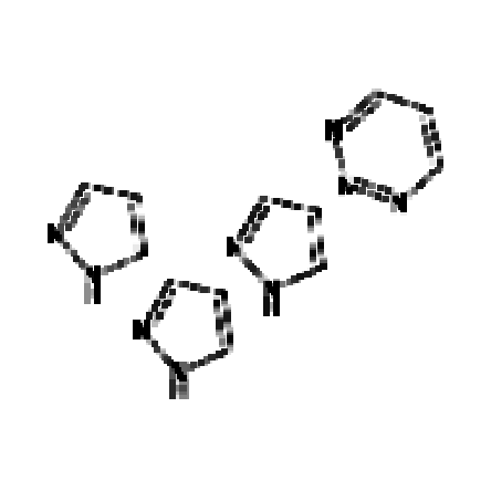 c1cn[nH]c1.c1cn[nH]c1.c1cn[nH]c1.c1cnnnc1